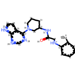 CC(C)(C)c1ccccc1NCC(=O)NC1CCCN(c2ncnc3[nH]ccc23)C1